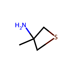 CC1(N)CSC1